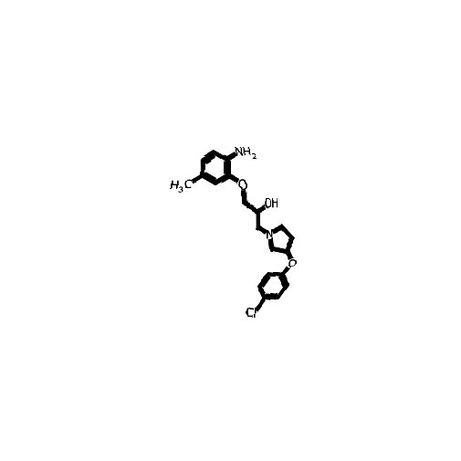 Cc1ccc(N)c(OCC(O)CN2CCC(Oc3ccc(Cl)cc3)C2)c1